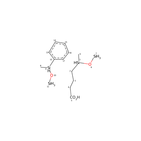 C[SiH](CCCC(=O)O)O[SiH3].C[SiH](O[SiH3])c1ccccc1